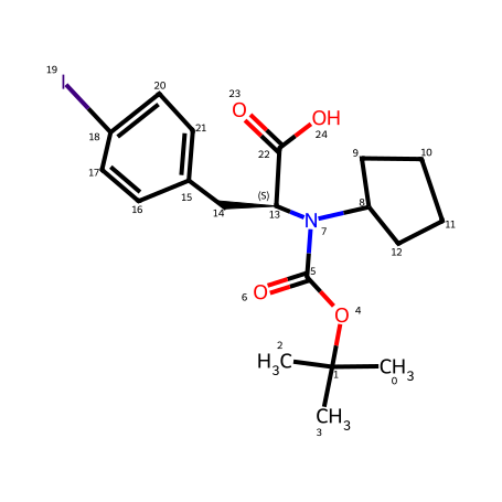 CC(C)(C)OC(=O)N(C1CCCC1)[C@@H](Cc1ccc(I)cc1)C(=O)O